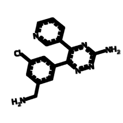 NCc1cc(Cl)cc(-c2nnc(N)nc2-c2cccnc2)c1